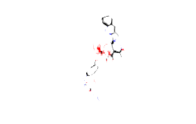 CC[C@@]1(OC(=O)OCc2ccc(NC(=O)[C@H](N)CC(N)=O)cc2)C(=O)OCc2c1cc1n(c2=O)Cc2cc3ccccc3nc2-1